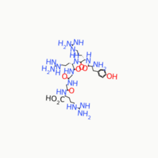 N=C(N)NCCC[C@H](NC(=O)CNC(=O)CNC(=O)[C@H](CCCNC(=N)N)NC(=O)[C@H](CCCNC(=N)N)NC(=O)[C@@H](N)Cc1ccc(O)cc1)C(=O)O